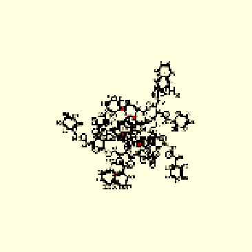 C/C=c1/cccc/c1=C/C(C)OCC(OCc1ccccc1)C(OCc1ccccc1)C(CO[C@@H]1O[C@H](COCc2ccccc2)C(OP(=O)(OCc2ccccc2)OCC(OCc2ccccc2)C(OCc2ccccc2)C(CO[C@@H]2O[C@H](COCc3ccccc3)C(OP(=O)(OCCCCCN=[N+]=[N-])OCc3ccccc3)C2OC)OCc2ccccc2)C1OC)OCc1ccccc1